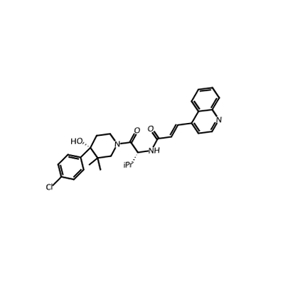 CC(C)[C@@H](NC(=O)/C=C/c1ccnc2ccccc12)C(=O)N1CC[C@](O)(c2ccc(Cl)cc2)C(C)(C)C1